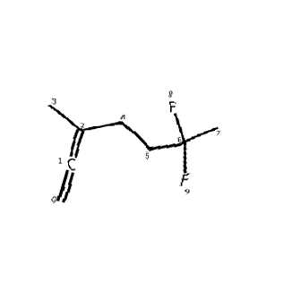 C=C=C(C)CCC(C)(F)F